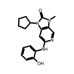 Cn1c(=O)n(C2CCCC2)c2cc(Nc3ccccc3O)ncc21